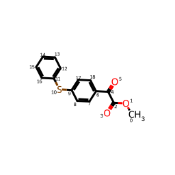 COC(=O)C(=O)c1ccc(Sc2ccccc2)cc1